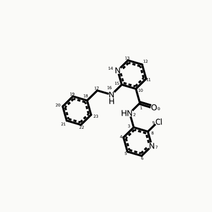 O=C(Nc1cccnc1Cl)c1cccnc1NCc1ccccc1